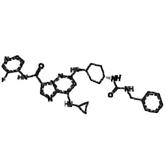 O=C(NCc1ccccc1)N[C@H]1CC[C@H](Nc2cc(NC3CC3)c3ncc(C(=O)Nc4ccncc4F)n3n2)CC1